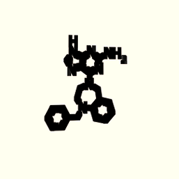 Nc1nc(N2CCN(Cc3ccccc3)c3ccccc3C2)c2nc[nH]c2n1